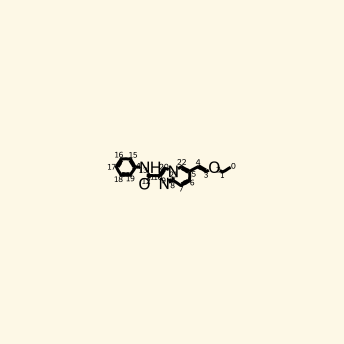 CCOC=Cc1ccc2nc(C(=O)Nc3ccccc3)cn2c1